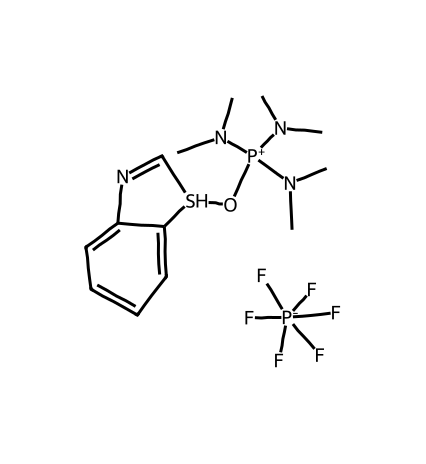 CN(C)[P+](O[SH]1C=Nc2ccccc21)(N(C)C)N(C)C.F[P-](F)(F)(F)(F)F